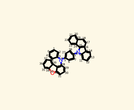 c1ccc(N(c2ccc(-n3c4ccccc4c4ccc5ccccc5c43)cc2)c2cccc3oc4ccccc4c23)cc1